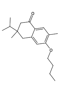 CCCCOc1cc2c(cc1C)C(=O)CC(C)(C(C)C)C2